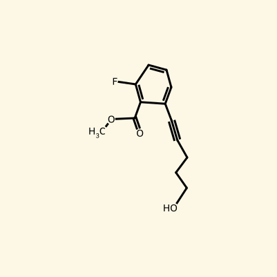 COC(=O)c1c(F)cccc1C#CCCCO